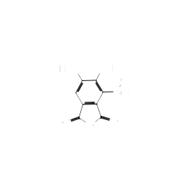 Cc1cc2c(c([SiH2]Cl)c1C)C(=O)OC2=O